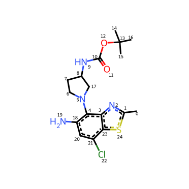 Cc1nc2c(N3CCC(NC(=O)OC(C)(C)C)C3)c(N)cc(Cl)c2s1